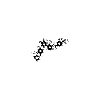 COc1cc(Nc2nc(-c3cccc(NC(=O)c4ccc(C(C)(C)C)cc4)c3C)cn(C)c2=O)ccc1CN1CCOCC1